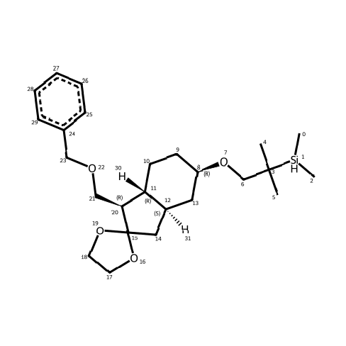 C[SiH](C)C(C)(C)CO[C@@H]1CC[C@@H]2[C@@H](C1)CC1(OCCO1)[C@H]2COCc1ccccc1